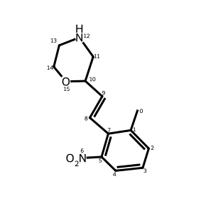 Cc1cccc([N+](=O)[O-])c1C=CC1CNCCO1